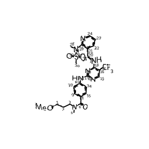 COCCCN(C)C(=O)c1ccc(Nc2ncc(C(F)(F)F)c(NCc3cccnc3N(C)S(C)(=O)=O)n2)cc1